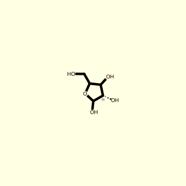 OCC1OC(O)[C@@H](O)C1O